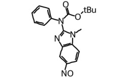 Cn1c(N(C(=O)OC(C)(C)C)c2ccccc2)nc2cc(N=O)ccc21